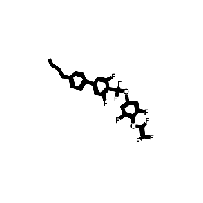 CCCCc1ccc(-c2cc(F)c(C(F)(F)Oc3cc(F)c(OC(F)=C(F)F)c(F)c3)c(F)c2)cc1